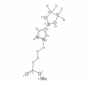 CC(C)(C)OC(=O)CCCCn1cc(B2OC(C)(C)C(C)(C)O2)cn1